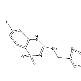 O=S1(=O)N=C(NCc2ccccn2)Nc2cc(F)ccc21